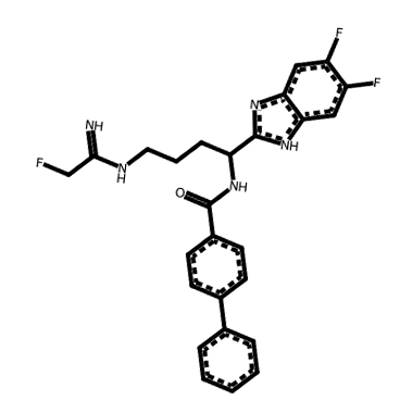 N=C(CF)NCCCC(NC(=O)c1ccc(-c2ccccc2)cc1)c1nc2cc(F)c(F)cc2[nH]1